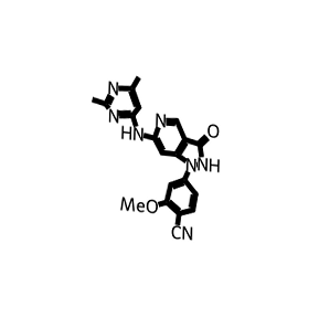 COc1cc(-n2[nH]c(=O)c3cnc(Nc4cc(C)nc(C)n4)cc32)ccc1C#N